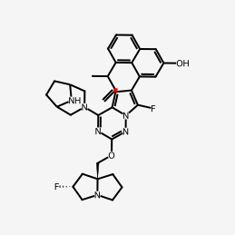 C=CC(C)c1cccc2cc(O)cc(-c3cc4c(N5CC6CCC(C5)N6)nc(OC[C@@]56CCCN5C[C@H](F)C6)nn4c3F)c12